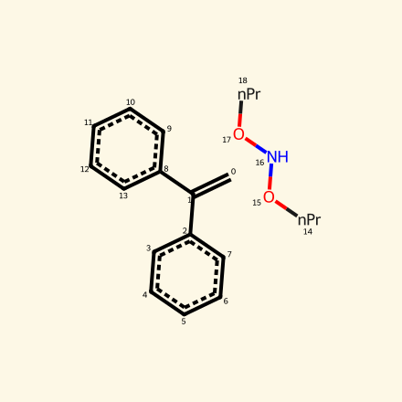 C=C(c1ccccc1)c1ccccc1.CCCONOCCC